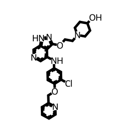 OC1CCN(CCOc2n[nH]c3cncc(Nc4ccc(OCc5ccccn5)c(Cl)c4)c23)CC1